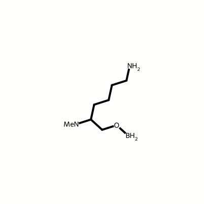 BOCC(CCCCN)NC